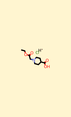 CCOC(=O)CN1CCC(C(=O)O)CC1.[Cl-].[H+]